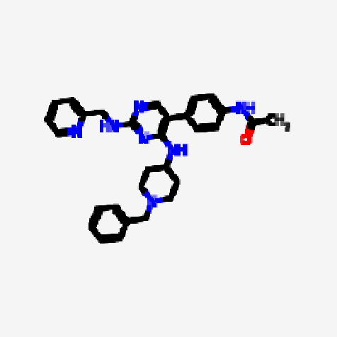 CC(=O)Nc1ccc(-c2cnc(NCc3ccccn3)nc2NC2CCN(Cc3ccccc3)CC2)cc1